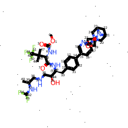 COC(=O)N[C@H](C(=O)N[C@@H](Cc1ccc(-c2ccc(N3CC4CC(C3)N4C3COC3)nc2)cc1)[C@@H](O)CNCC(C)NC(F)F)C(C)(C)C(F)(F)F